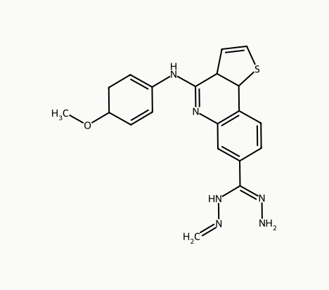 C=NN/C(=N\N)c1ccc2c(c1)N=C(NC1=CCC(OC)C=C1)C1C=CSC21